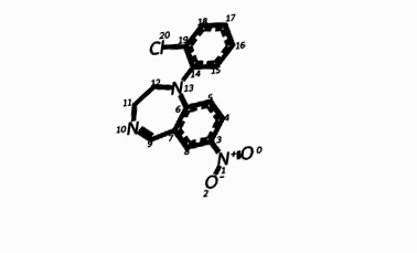 O=[N+]([O-])c1ccc2c(c1)C=NCCN2c1ccccc1Cl